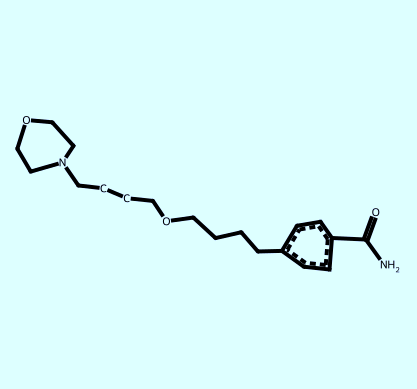 NC(=O)c1ccc(CCCCOCCCCN2CCOCC2)cc1